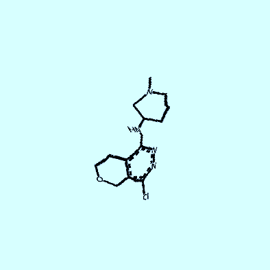 CN1CCCC(Nc2nnc(Cl)c3c2CCOC3)C1